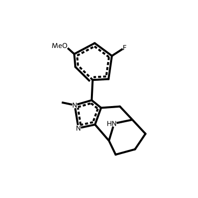 COc1cc(F)cc(-c2c3c(nn2C)C2CCCC(C3)N2)c1